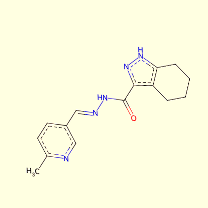 Cc1ccc(/C=N/NC(=O)c2n[nH]c3c2CCCC3)cn1